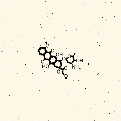 COCC(=O)[C@]1(O)Cc2c(O)c3c(c(O)c2[C@@H](OC2C[C@H](N)[C@@H](O)[C@H](C)O2)C1)C(=O)c1c(OC)cccc1C3=O